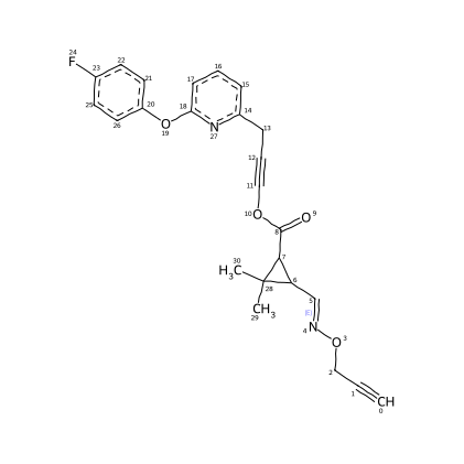 C#CCO/N=C/C1C(C(=O)OC#CCc2cccc(Oc3ccc(F)cc3)n2)C1(C)C